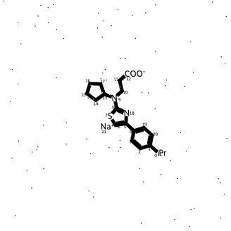 CC(C)c1ccc(-c2csc(N(CCC(=O)[O-])C3CCCC3)n2)cc1.[Na+]